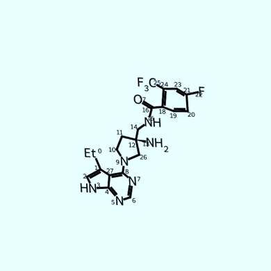 CCc1c[nH]c2ncnc(N3CC[C@](N)(CNC(=O)c4ccc(F)cc4C(F)(F)F)C3)c12